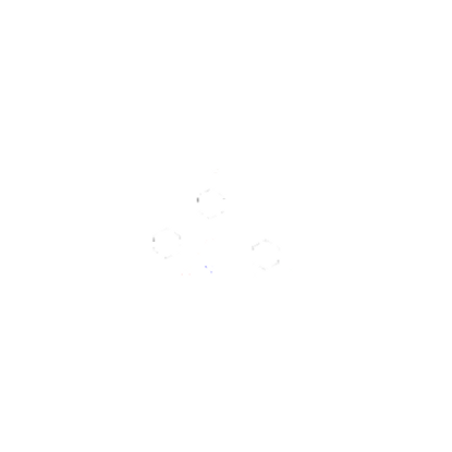 CC(NS(=O)(=O)c1ccccc1)C(Cc1ccc(Cl)cc1)Oc1ccc(Br)cc1